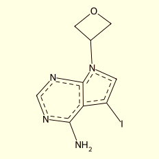 Nc1ncnc2c1c(I)cn2C1COC1